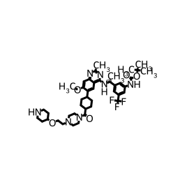 COc1cc2nc(C)nc(N[C@H](C)c3cc(NC(=O)OC(C)(C)C)cc(C(F)(F)F)c3)c2cc1C1CCC(C(=O)N2CCN(CCOC3CCNCC3)CC2)CC1